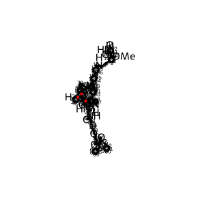 COc1ccc(C#CCNC2(C)CCN(C3CCN(c4nc([C@@](COCC(Cc5ccccc5)(NC(=O)CNC(=O)CNC(=O)CCOCCOCCN5C(=O)C(Sc6ccccc6)=C(Sc6ccccc6)C5=O)C(N)=O)(OC5CC5)c5ccccc5)c5cc(-c6cn(C)c(=O)c7[nH]ccc67)ccc5n4)CC3)CC2)cc1N1CCC(=O)NC1=O